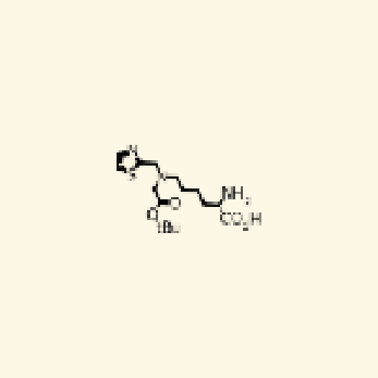 CC(C)(C)OC(=O)CN(CCCC[C@H](N)C(=O)O)Cc1nccs1